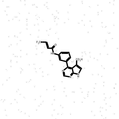 O=C(/C=C/C(F)(F)F)Nc1cccc(-c2ncnc3[nH]cc(C(=O)O)c23)c1